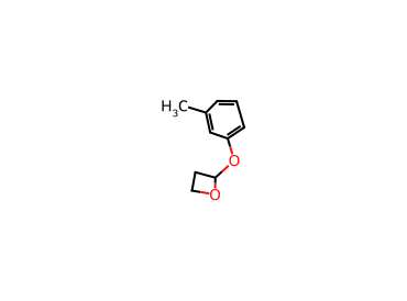 Cc1cccc(OC2CCO2)c1